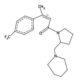 C/C(=C/C(=O)N1CCCC1CN1CCCCC1)c1ccc(C(F)(F)F)cc1